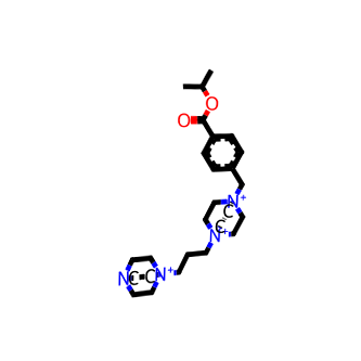 CC(C)OC(=O)c1ccc(C[N+]23CC[N+](CCC[N+]45CCN(CC4)CC5)(CC2)CC3)cc1